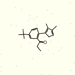 CCC(=O)c1cc(C(C)(C)C)ccc1C1=C(C)C(C)=CC1